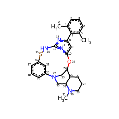 Cc1cccc(C)c1-c1cc2nc(n1)NSc1cccc(c1)N1CC(O2)C2CCCN(C)C2C1